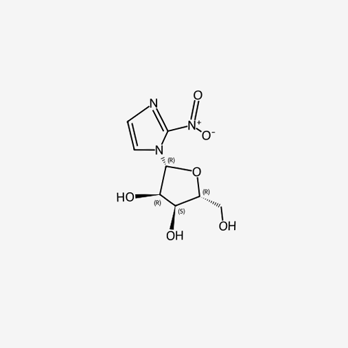 O=[N+]([O-])c1nccn1[C@@H]1O[C@H](CO)[C@@H](O)[C@H]1O